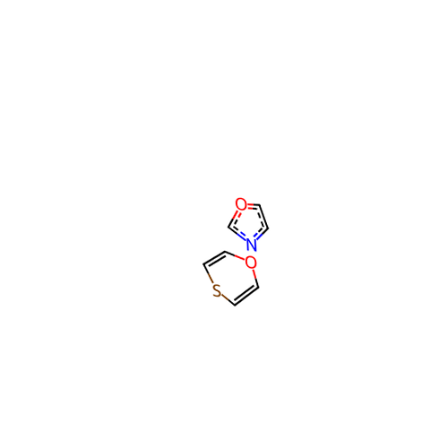 C1=CSC=CO1.c1cocn1